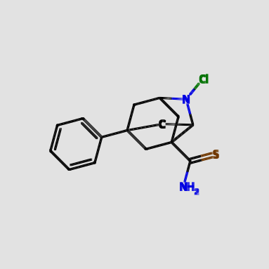 NC(=S)C12CC3CC(c4ccccc4)(CC1N3Cl)C2